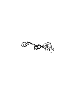 CC1(C)OB(c2ccc3c(cnn3CCCN3CCOCC3)c2)OC1(C)C